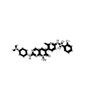 Cc1nc(NS(=O)(=O)c2ccccc2F)ccc1-c1cc2cnc(N[C@H]3CC[C@H](N(C)C)CC3)nc2n(C(C)C)c1=O